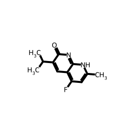 Cc1cc(F)c2cc(C(C)C)c(=O)nc-2[nH]1